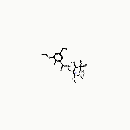 CCNc1cc(CC)cc(C(=O)NC/C(C(=N)C(F)(F)P)=C(/NC)OC)c1C